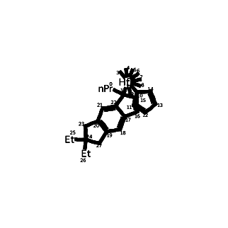 CCC[C]1([Hf]([CH3])([CH3])([CH3])([CH3])([CH3])([CH3])([CH3])[CH]2C=CC=C2)C=Cc2cc3c(cc21)CC(CC)(CC)C3